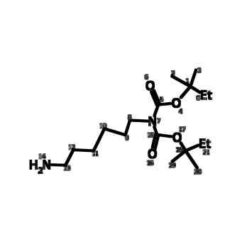 CCC(C)(C)OC(=O)N(CCCCCCN)C(=O)OC(C)(C)CC